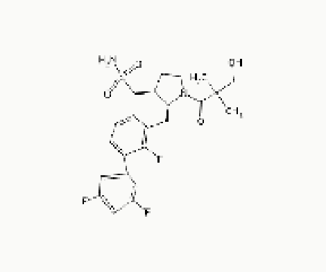 CC(C)(CO)C(=O)N1CC[C@H](CS(N)(=O)=O)[C@@H]1Cc1cccc(-c2cc(F)cc(F)c2)c1F